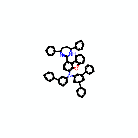 c1ccc(-c2cccc(N(c3cc(-c4ccccc4)cc(-c4ccccc4)c3)c3ccc(C4=NC(c5ccccc5)CCC(c5ccccc5)N4)c4c3oc3ccccc34)c2)cc1